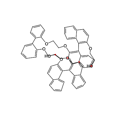 OCCOc1ccc2ccccc2c1-c1c(OCCOc2ccccc2-c2ccccc2OCCOc2ccc3ccccc3c2-c2c(OCCO)ccc3ccccc23)ccc2ccccc12